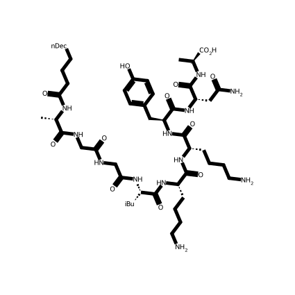 CCCCCCCCCCCCCC(=O)N[C@@H](C)C(=O)NCC(=O)NCC(=O)N[C@H](C(=O)N[C@@H](CCCCN)C(=O)N[C@@H](CCCCN)C(=O)N[C@@H](Cc1ccc(O)cc1)C(=O)N[C@@H](CC(N)=O)C(=O)N[C@@H](C)C(=O)O)[C@@H](C)CC